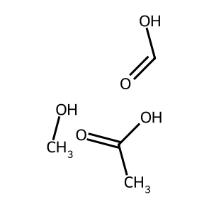 CC(=O)O.CO.O=CO